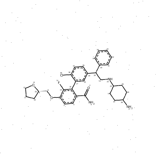 NC(=O)c1ccc(OC[C@@H]2CCCO2)c(F)c1-c1cc(C(CNC2CCC(N)CC2)c2ccccc2)ccc1Cl